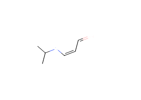 B=C/C=C\NC(C)C